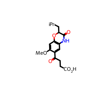 COc1cc2c(cc1C(=O)CCC(=O)O)NC(=O)C(CC(C)C)O2